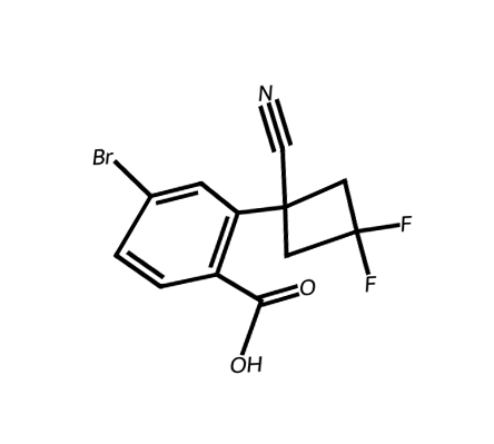 N#CC1(c2cc(Br)ccc2C(=O)O)CC(F)(F)C1